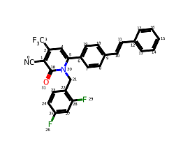 N#Cc1c(C(F)(F)F)cc(-c2ccc(/C=C/c3ccccc3)cc2)n(Cc2ccc(F)cc2F)c1=O